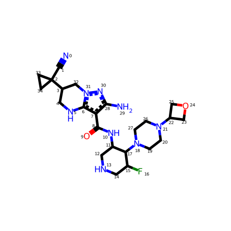 N#CC1(C2CNc3c(C(=O)NC4CNCC(F)C4N4CCN(C5COC5)CC4)c(N)nn3C2)CC1